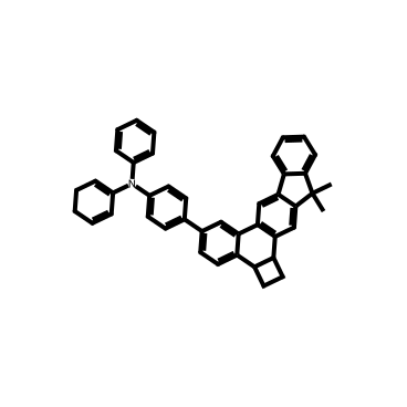 CC1(C)c2ccccc2-c2cc3c(cc21)C1CCC1c1ccc(-c2ccc(N(C4=CCCC=C4)c4ccccc4)cc2)cc1-3